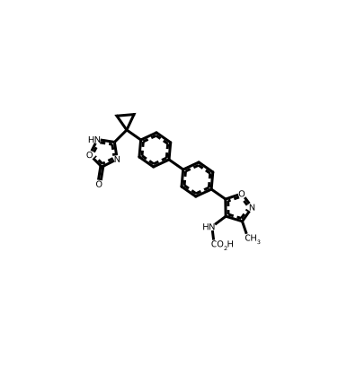 Cc1noc(-c2ccc(-c3ccc(C4(c5nc(=O)o[nH]5)CC4)cc3)cc2)c1NC(=O)O